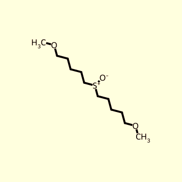 COCCCCC[S+]([O-])CCCCCOC